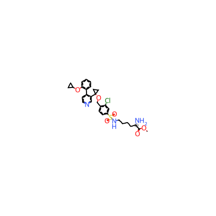 COC(=O)[C@@H](N)CCCCNS(=O)(=O)c1ccc(COC2(c3cnccc3-c3ccccc3OC3CC3)CC2)c(Cl)c1